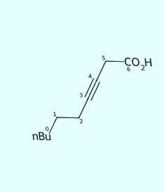 CCCCCCC#CCC(=O)O